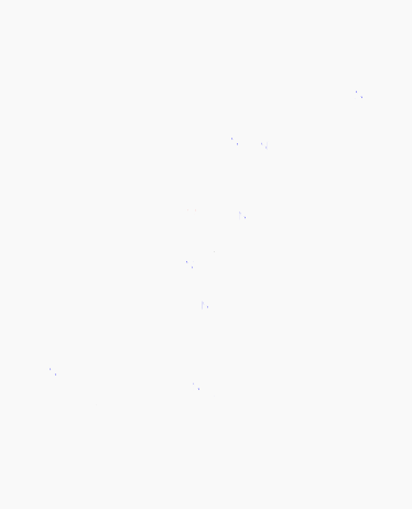 Cc1ccncc1-c1cc(N)c2cnc(NC(=O)C(=O)Nc3cnn(CCC#N)c3)cc2c1